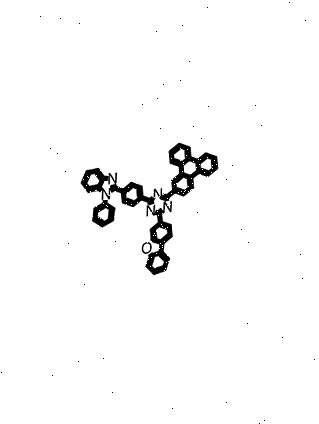 c1ccc(-n2c(-c3ccc(-c4nc(-c5ccc6c(c5)oc5ccccc56)nc(-c5ccc6c7ccccc7c7ccccc7c6c5)n4)cc3)nc3ccccc32)cc1